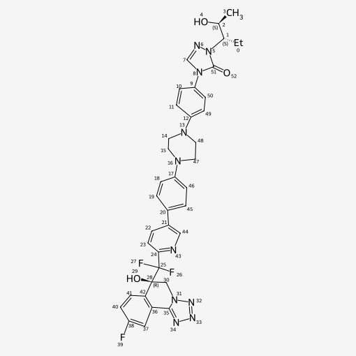 CC[C@@H]([C@H](C)O)n1ncn(-c2ccc(N3CCN(c4ccc(-c5ccc(C(F)(F)[C@]6(O)Cn7nnnc7-c7cc(F)ccc76)nc5)cc4)CC3)cc2)c1=O